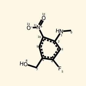 CNc1cc(F)c(CO)cc1[N+](=O)[O-]